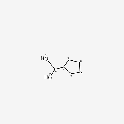 OC(O)C1CCCC1